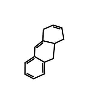 C1=CCC2Cc3ccccc3C=C2C1